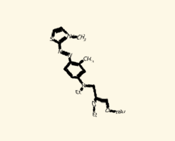 CCOC(COC(C)(C)C)CN(CC)c1ccc(/N=N/c2scc[n+]2C)c(C)c1